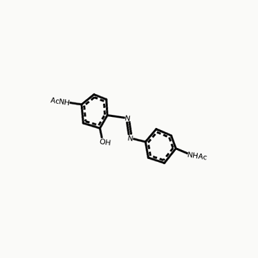 CC(=O)Nc1ccc(N=Nc2ccc(NC(C)=O)cc2O)cc1